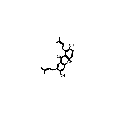 CC(C)=CCc1cc(C(=O)c2cccc(O)c2CC=C(C)C)c(O)cc1O